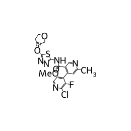 COc1cnc(Cl)c(F)c1-c1cc(C)ncc1C(=O)Nc1nnc(O[C@H]2CCOC2)s1